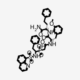 COc1cccc(C[C@H](NC(=O)CP(=O)(O)C(Cc2ccccc2)NS(=O)(=O)c2cccc3cccnc23)C(=O)N[C@@H](CCc2ccccc2)C(N)=O)c1